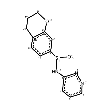 [O-][S+](Nc1cccnn1)c1ccc2c(c1)OCCC2